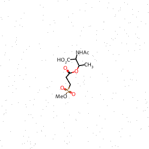 COS(=O)(=O)CCC(=O)OC(C)C(NC(C)=O)C(=O)O